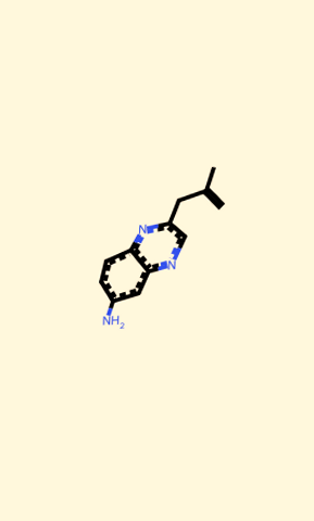 C=C(C)Cc1cnc2cc(N)ccc2n1